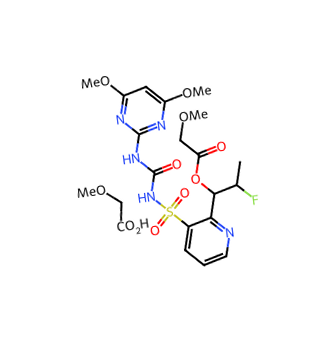 COCC(=O)O.COCC(=O)OC(c1ncccc1S(=O)(=O)NC(=O)Nc1nc(OC)cc(OC)n1)C(C)F